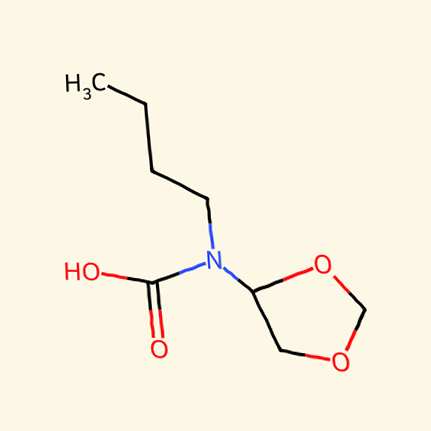 CCCCN(C(=O)O)C1COCO1